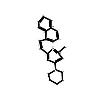 Cc1cc(N2CCCCC2)cc(/C=C\c2cccc3ccccc23)n1